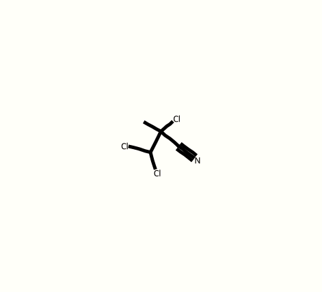 CC(Cl)(C#N)C(Cl)Cl